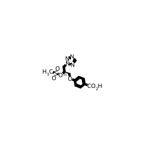 CS(=O)(=O)O[C@H](COc1ccc(C(=O)O)cc1)Cn1ncnn1